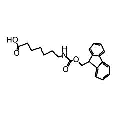 O=C(O)CCCCCCNC(=O)OCC1c2ccccc2-c2ccccc21